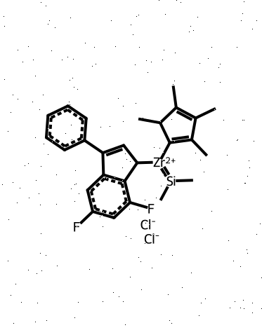 CC1=C(C)C(C)[C]([Zr+2]([CH]2C=C(c3ccccc3)c3cc(F)cc(F)c32)=[Si](C)C)=C1C.[Cl-].[Cl-]